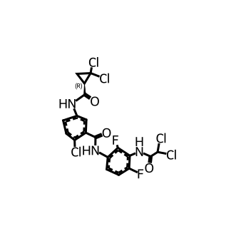 O=C(Nc1ccc(F)c(NC(=O)C(Cl)Cl)c1F)c1cc(NC(=O)[C@H]2CC2(Cl)Cl)ccc1Cl